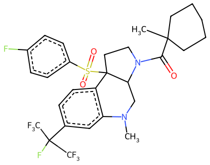 CN1CC2N(C(=O)C3(C)CCCCC3)CCC2(S(=O)(=O)c2ccc(F)cc2)c2ccc(C(F)(C(F)(F)F)C(F)(F)F)cc21